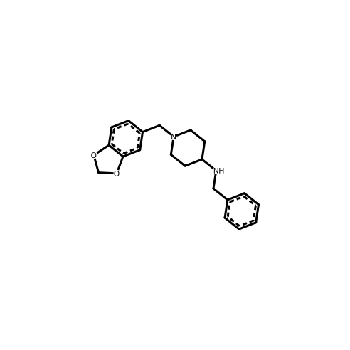 c1ccc(CNC2CCN(Cc3ccc4c(c3)OCO4)CC2)cc1